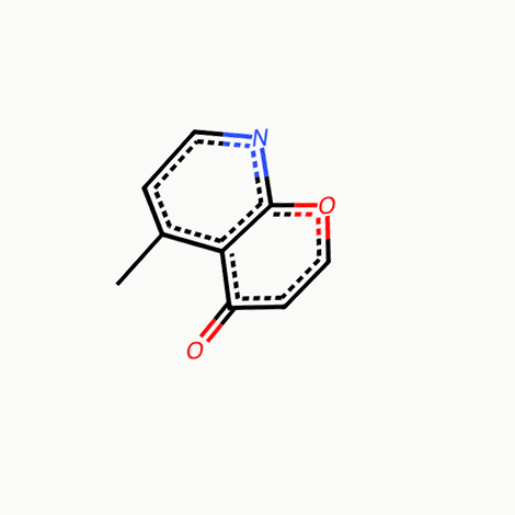 Cc1ccnc2occc(=O)c12